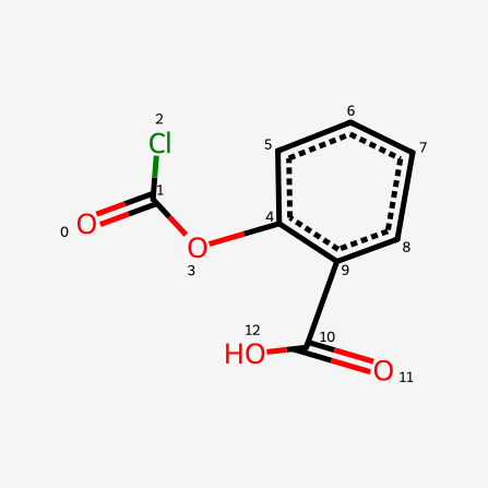 O=C(Cl)Oc1ccccc1C(=O)O